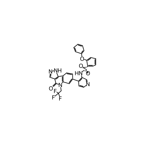 O=c1c2cn[nH]c2c2ccc(-c3ccncc3NS(=O)(=O)c3ccccc3Oc3ccccc3)cc2n1CC(F)(F)F